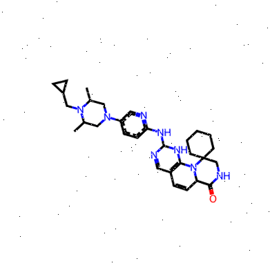 CC1CN(c2ccc(NC3N=CC4=C(N3)N3C(C=C4)C(=O)NCC34CCCCC4)nc2)CC(C)N1CC1CC1